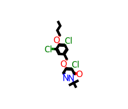 CCCCOc1c(Cl)cc(COc2cnn(C(C)(C)C)c(=O)c2Cl)cc1Cl